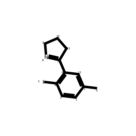 Cc1ccc(I)c(C2=NCCC2)c1